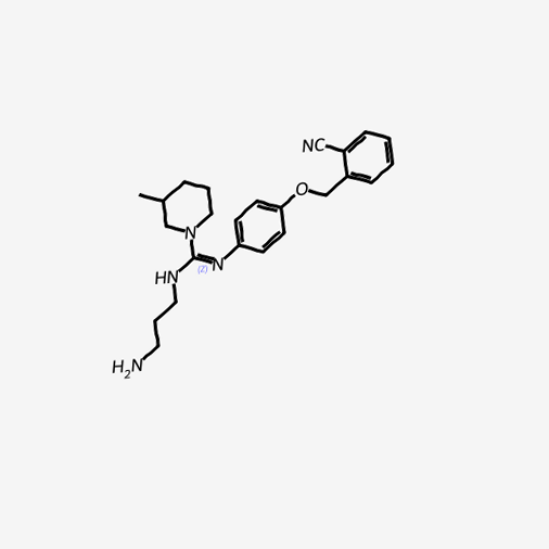 CC1CCCN(/C(=N\c2ccc(OCc3ccccc3C#N)cc2)NCCCN)C1